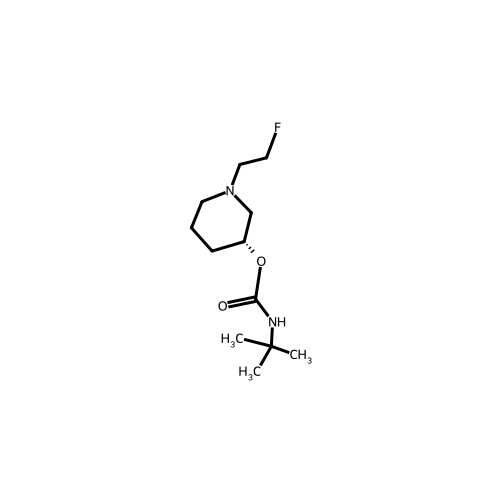 CC(C)(C)NC(=O)O[C@@H]1CCCN(CCF)C1